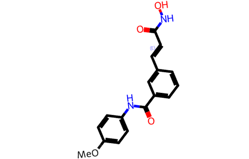 COc1ccc(NC(=O)c2cccc(/C=C/C(=O)NO)c2)cc1